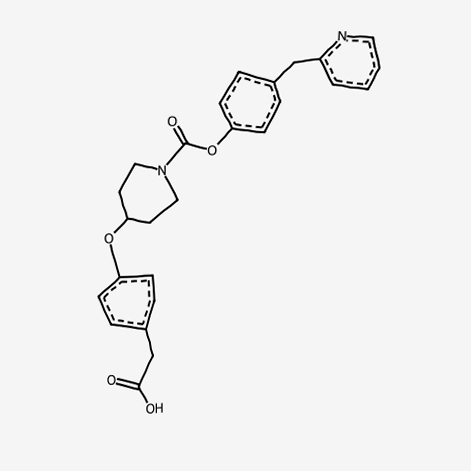 O=C(O)Cc1ccc(OC2CCN(C(=O)Oc3ccc(Cc4ccccn4)cc3)CC2)cc1